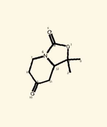 CC1(C)OC(=O)N2CCC(=O)CC21